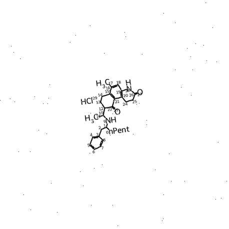 CCCCCC(Cc1ccccc1)NC(C)C1CCc2c(C)cc3c(c2C1=O)CCC(=O)N3.Cl